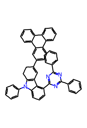 C1=C(c2ccc3c4ccccc4c4ccccc4c3c2)CCc2c1c1c(-c3nc(-c4ccccc4)nc(-c4ccccc4)n3)cccc1n2-c1ccccc1